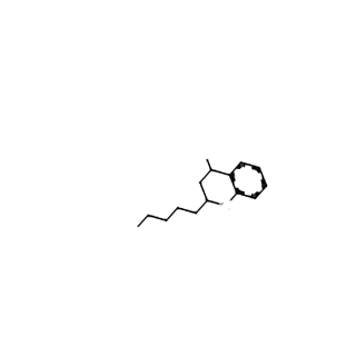 BC1CC(CCCCC)Nc2ccccc21